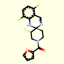 O=C(c1ccco1)N1CC[C@@]2(N=Cc3c(F)ccc(F)c3N2)[C@@H](F)C1